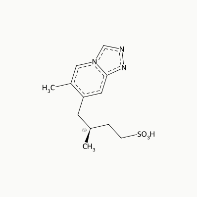 Cc1cn2cnnc2cc1C[C@H](C)CCS(=O)(=O)O